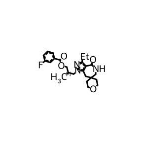 CCc1nn(C[C@@H](C)COC(=O)c2cccc(F)c2)c2c1C(=O)NCC1(CCOCC1)C2